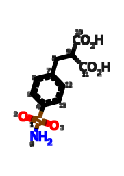 NS(=O)(=O)c1ccc(CC(C(=O)O)C(=O)O)cc1